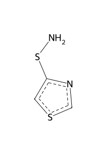 NSc1cscn1